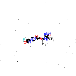 CC(COCCC(=O)N1CCN(c2ccc(OC(F)F)cn2)CC1)n1nc(C(F)(F)F)c2c(=O)[nH]ncc21